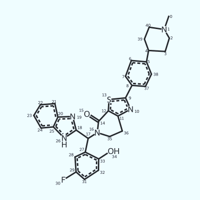 CN1CCC(c2ccc(-c3nc4c(s3)C(=O)N(C(c3nc5ccccc5[nH]3)c3cc(F)ccc3O)CC4)cc2)CC1